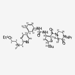 CCOCCN(C)Cc1ccc(-c2cc(NC(=O)Nc3cc(C(C)(C)C)sc3C(=O)N3CCN(C(C)C)C(=O)C3(C)C)ccc2C)cn1